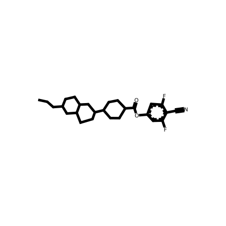 CCCC1CCC2CC(C3CCC(C(=O)Oc4cc(F)c(C#N)c(F)c4)CC3)CCC2C1